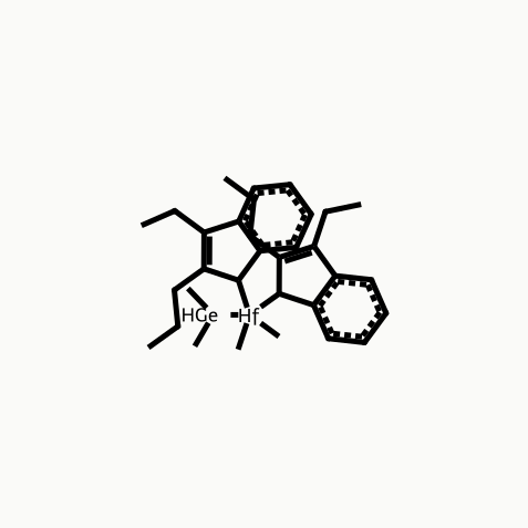 CCCC1=C(CC)c2ccccc2[CH]1[Hf]([CH3])([CH3])([CH]1C(CCC)=C(CC)c2ccccc21)[GeH]([CH3])[CH3]